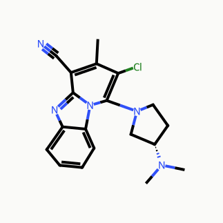 Cc1c(Cl)c(N2CC[C@H](N(C)C)C2)n2c(nc3ccccc32)c1C#N